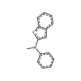 CN(c1ccccc1)c1cc2ccccc2s1